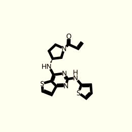 C=CC(=O)N1CC[C@@H](Nc2nc(Nc3cccs3)nc3ccsc23)C1